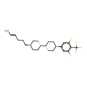 C/C=C/CCC[C@H]1CC[C@H]([C@H]2CC[C@H](c3cc(F)c(C(F)(F)F)c(F)c3)CC2)CC1